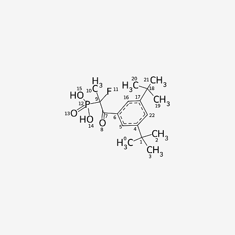 CC(C)(C)c1cc(C(=O)C(C)(F)P(=O)(O)O)cc(C(C)(C)C)c1